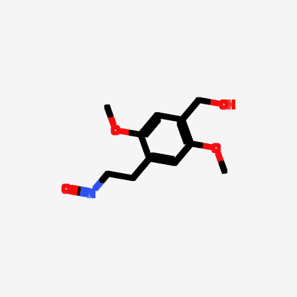 COc1cc(CCN=O)c(OC)cc1CO